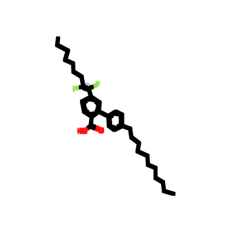 CCCCCCCCCCCc1ccc(-c2cc(/C(F)=C(\F)CCCCCCC)ccc2C(=O)O)cc1